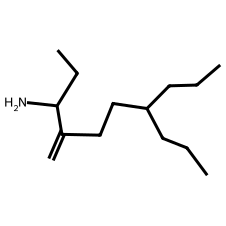 C=C(CCC(CCC)CCC)C(N)CC